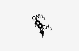 Cc1cc2cc(C(N)=O)cnc2cc1N1CC(F)C1